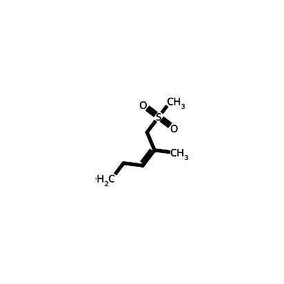 [CH2]CC=C(C)CS(C)(=O)=O